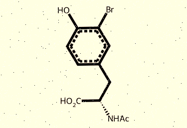 CC(=O)N[C@@H](Cc1ccc(O)c(Br)c1)C(=O)O